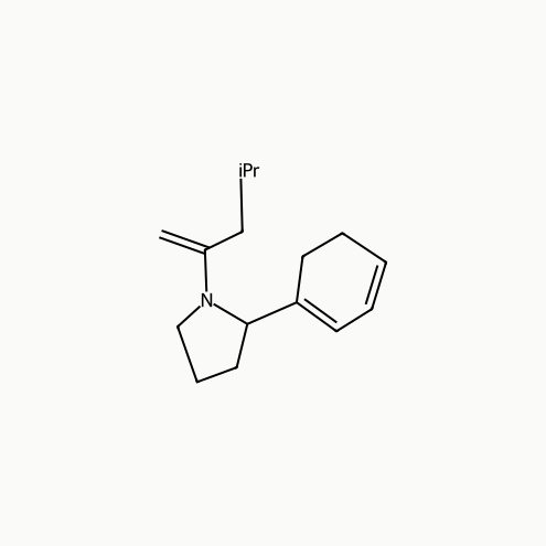 C=C(CC(C)C)N1CCCC1C1=CC=CCC1